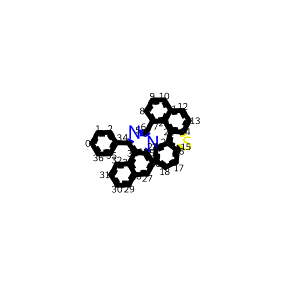 c1ccc(-c2nc(-c3cccc4ccc5sc6ccccc6c5c34)nc3ccc4ccccc4c23)cc1